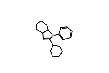 C1=C(C2CCCCC2)P(c2ccccc2)C2CCCCC12